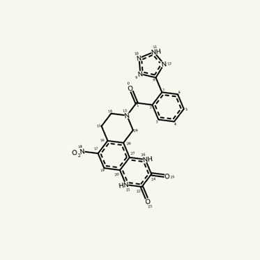 O=C(c1ccccc1-c1nn[nH]n1)N1CCc2c([N+](=O)[O-])cc3[nH]c(=O)c(=O)[nH]c3c2C1